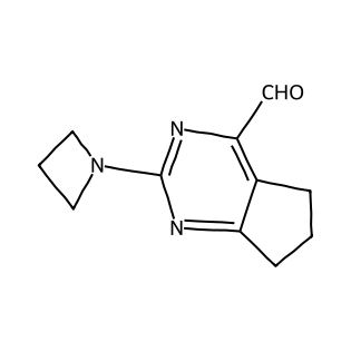 O=Cc1nc(N2CCC2)nc2c1CCC2